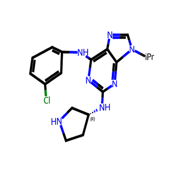 CC(C)n1cnc2c(Nc3cccc(Cl)c3)nc(N[C@@H]3CCNC3)nc21